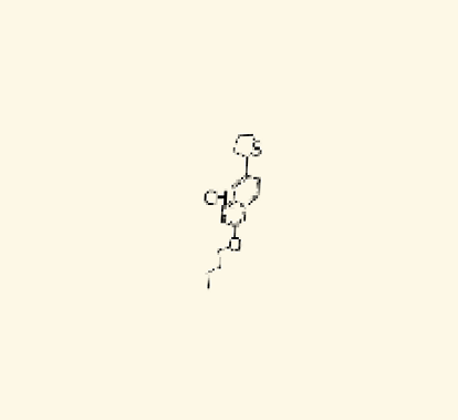 C.CCCCOc1ccc2cc(C3CCCS3)ccc2c1